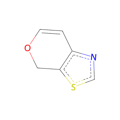 C1=Cc2ncsc2CO1